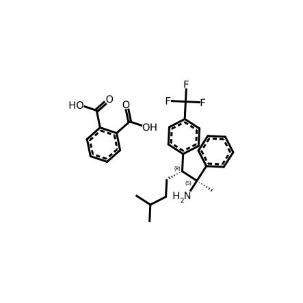 CC(C)CC[C@H](c1ccc(C(F)(F)F)cc1)[C@](C)(N)c1ccccc1.O=C(O)c1ccccc1C(=O)O